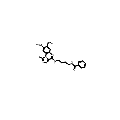 COc1cc2nc(NCCCCNC(=O)c3ccccc3)c3nnc(C)n3c2cc1OC